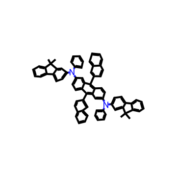 CC1(C)c2ccccc2-c2ccc(N(c3ccccc3)c3ccc4c(-c5ccc6ccccc6c5)c5cc(N(c6ccccc6)c6ccc7c(c6)C(C)(C)c6ccccc6-7)ccc5c(-c5ccc6ccccc6c5)c4c3)cc21